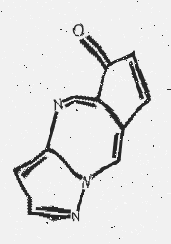 O=C1C=Cc2cn3nccc3nc21